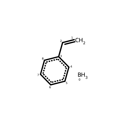 B.C=Cc1ccccc1